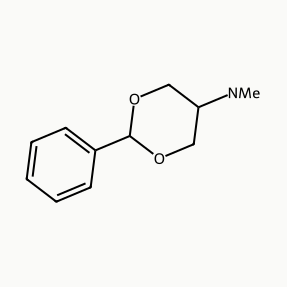 CNC1COC(c2ccccc2)OC1